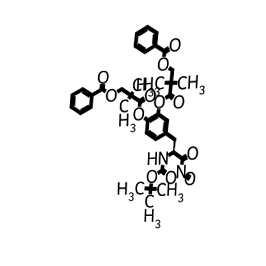 CC(C)(C)OC(=O)N[C@@H](Cc1ccc(OC(=O)C(C)(C)COC(=O)c2ccccc2)c(OC(=O)C(C)(C)COC(=O)c2ccccc2)c1)C(=O)N=O